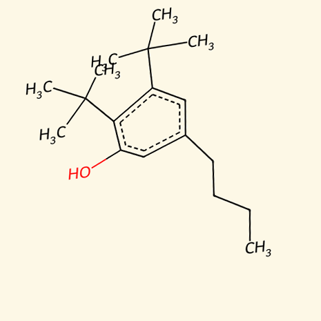 CCCCc1cc(O)c(C(C)(C)C)c(C(C)(C)C)c1